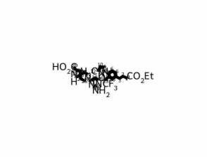 CCOC(=O)CCCc1ccc(-n2ccc(C)n2)c([C@@H](Oc2cc(N3CCC4(CC3)CNC(C(=O)O)C4)nc(N)n2)C(F)(F)F)c1